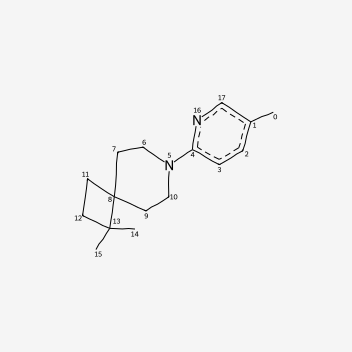 Cc1ccc(N2CCC3(CC2)CCC3(C)C)nc1